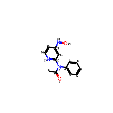 CC(=O)N(c1ccccc1)c1cc(N=O)ccn1